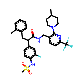 Cc1ccccc1CC(C(=O)NCc1ccc(C(F)(F)F)nc1N1CCC(C)CC1)c1ccc(NS(C)(=O)=O)c(F)c1